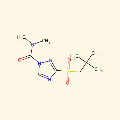 CN(C)C(=O)n1cnc(S(=O)(=O)CC(C)(C)C)n1